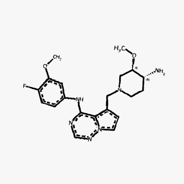 COc1cc(Nc2ncnn3ccc(CN4CC[C@@H](N)[C@H](OC)C4)c23)ccc1F